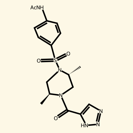 CC(=O)Nc1ccc(S(=O)(=O)N2C[C@H](C)N(C(=O)c3cnn[nH]3)C[C@H]2C)cc1